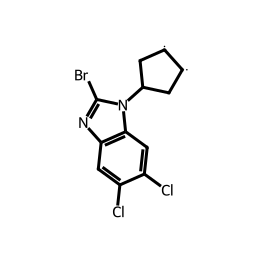 Clc1cc2nc(Br)n(C3C[CH][CH]C3)c2cc1Cl